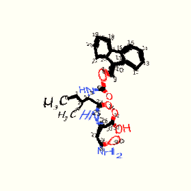 CC[C@H](C)[C@H](NC(=O)OCC1c2ccccc2-c2ccccc21)C(=O)NC(CC(N)=O)C(=O)O